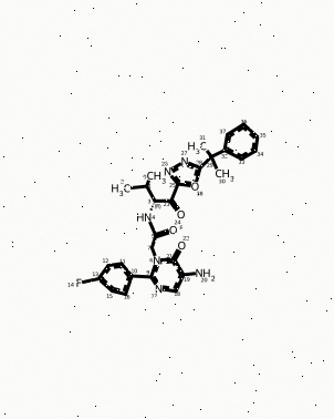 CC(C)[C@@H](NC(=O)Cn1c(-c2ccc(F)cc2)ncc(N)c1=O)C(=O)c1nnc(C(C)(C)c2ccccc2)o1